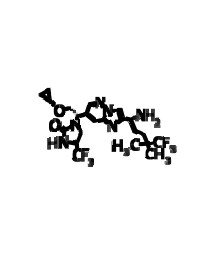 CC(C)(CC[C@H](N)c1cn2ncc([C@@H](COC3CC3)N3CC(C(F)(F)F)NC3=O)cc2n1)C(F)(F)F